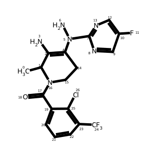 CC1C(N)=C(N(N)c2ncc(F)cn2)CCN1C(=O)c1cccc(C(F)(F)F)c1Cl